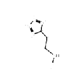 CC(C)NCCC1N=NN=N1